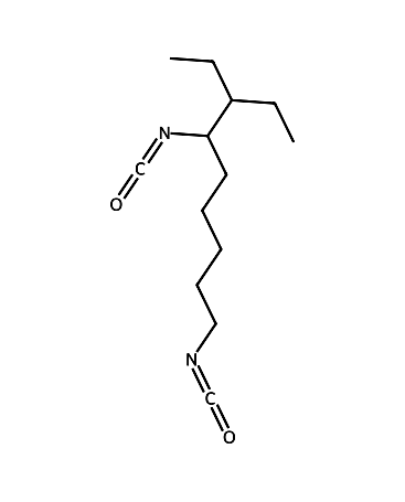 CCC(CC)C(CCCCCN=C=O)N=C=O